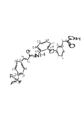 O=C(O)Cc1cccc(Oc2ccccc2NC(=O)C=Cc2ccc(C(F)(F)F)cc2)c1